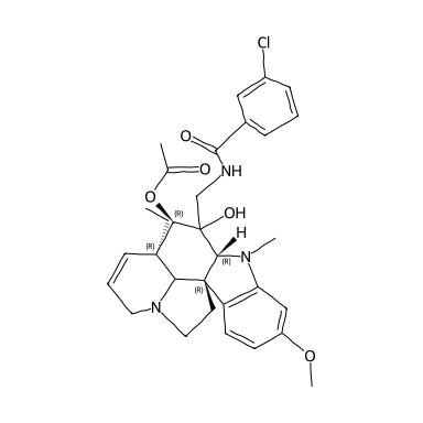 CC[C@]12C=CCN3CC[C@@]4(c5ccc(OC)cc5N(C)[C@H]4C(O)(CNC(=O)c4cccc(Cl)c4)[C@@H]1OC(C)=O)C32